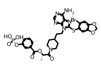 C[C@H](OC(=O)c1cccc(OP(=O)(O)O)c1)C(=O)N1CCC(CCn2c(Sc3cc4c(cc3Br)OCO4)nc3c(N)ncnc32)CC1